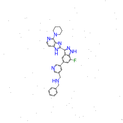 Fc1cc(-c2cncc(CNCc3ccccc3)c2)cc2c(-c3nc4c(N5CCCCC5)nccc4[nH]3)n[nH]c12